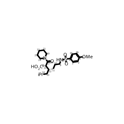 COc1ccc(S(=O)(=O)NCCC[C@H](CC(C)C)[C@H](C(=O)O)C(=O)N2CCCCC2)cc1